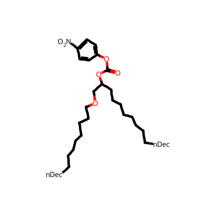 CCCCCCCCCCCCCCCCCCOCC(CCCCCCCCCCCCCCCCCC)OC(=O)Oc1ccc([N+](=O)[O-])cc1